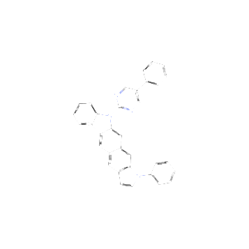 c1ccc(-c2cnc(-n3c4ccccc4c4cc5cc6ccn(-c7ccccc7)c6cc5cc43)nc2)cc1